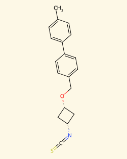 Cc1ccc(-c2ccc(CO[C@H]3C[C@@H](N=C=S)C3)cc2)cc1